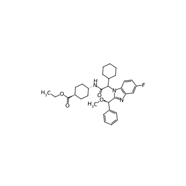 CCOC(=O)[C@H]1CC[C@H](NC(=O)C(C2CCCCC2)n2c([C@H](OC)c3ccccc3)nc3cc(F)ccc32)CC1